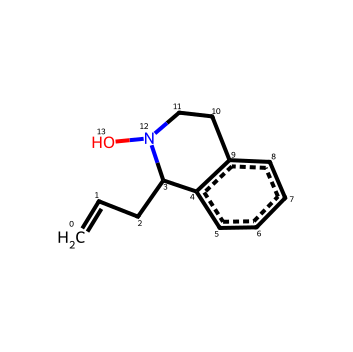 C=CCC1c2ccccc2CCN1O